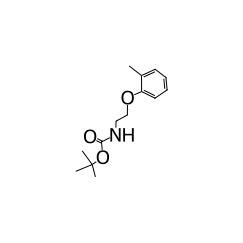 Cc1ccccc1OCCNC(=O)OC(C)(C)C